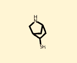 SC1CC2CC1CN2